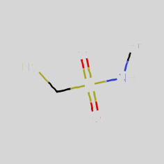 CCNS(=O)(=O)CS